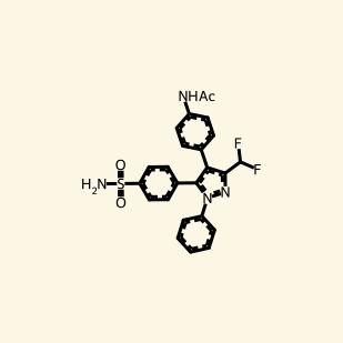 CC(=O)Nc1ccc(-c2c(C(F)F)nn(-c3ccccc3)c2-c2ccc(S(N)(=O)=O)cc2)cc1